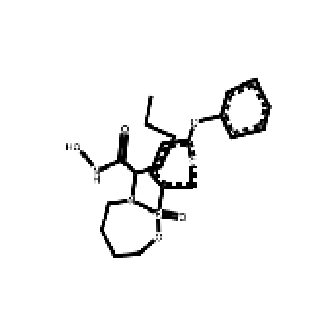 CCCCC(C(=O)NO)N1CCCCOP1(=O)c1ccc(Oc2ccccc2)cc1